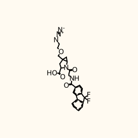 [N-]=[N+]=NCCOCC12CC(C(=O)O)N(C(=O)CNC(=O)c3ccc4c(c3)-c3ccccc3C4(F)F)C1C2